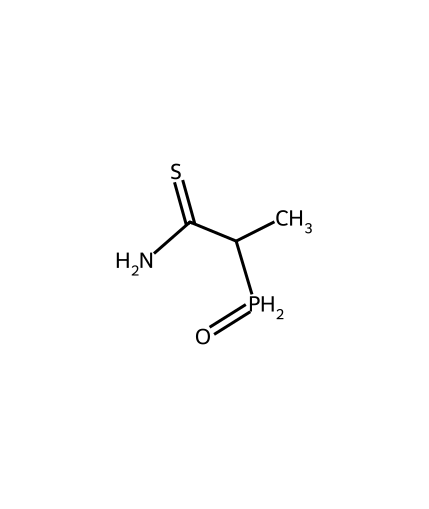 CC([PH2]=O)C(N)=S